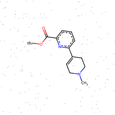 CN1CC=C(c2cccc(C(=O)OC(C)(C)C)n2)CC1